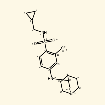 O=S(=O)(NCC1CC1)c1ccc(NC2CN3CCC2CC3)cc1C(F)(F)F